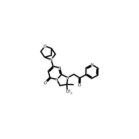 CC1(C(F)(F)F)Cn2c(nc(N3CC4CC3CO4)cc2=O)N1CC(=O)c1cccnc1